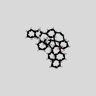 C1=Cc2ccc(-c3nc4ccccc4n3-c3ccccc3)cc2C2(c3ccccc31)c1ccccc1-c1c2cc2ccc3cccc4ccc1c2c34